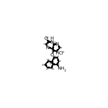 Cl.Nc1ccc(Oc2ccnc3[nH]c(=O)cnc23)c2ccccc12